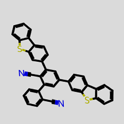 N#Cc1ccccc1-c1cc(-c2ccc3c(c2)sc2ccccc23)cc(-c2ccc3c(c2)sc2ccccc23)c1C#N